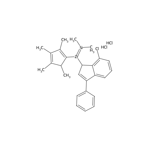 CC1=C(C)C(C)[C]([Zr]([CH]2C=C(c3ccccc3)c3cccc(Cl)c32)=[Si](C)C)=C1C.Cl.Cl